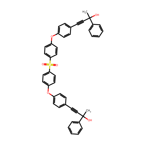 CC(O)(C#Cc1ccc(Oc2ccc(S(=O)(=O)c3ccc(Oc4ccc(C#CC(C)(O)c5ccccc5)cc4)cc3)cc2)cc1)c1ccccc1